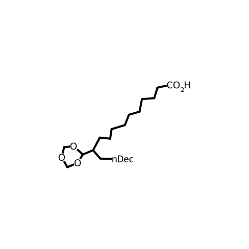 CCCCCCCCCCCC(CCCCCCCCCC(=O)O)C1OCOCO1